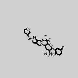 NC1CC(N2Cc3cn(SC4CCOC4)nc3C2)C(C(F)(F)F)O[C@@H]1C1=C(F)CCC(F)=C1